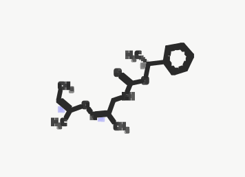 C/C=C(/C)O/N=C(/C)CNC(=O)O[C@H](C)c1ccccc1